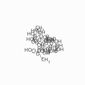 CC(=O)N[C@@H]1[C@@H](O)[C@H](O[C@@H]2O[C@H](C(=O)O)[C@@H](O[C@@H]3O[C@H](CO)[C@@H](O[C@H]4O[C@@H](C(=O)O)[C@H](O)[C@@H](O)[C@@H]4OS(=O)(=O)O)[C@H](OS(=O)(=O)O)[C@H]3NS(=O)(=O)O)[C@H](O)[C@H]2OS(=O)(=O)O)[C@H](COS(=O)(=O)O)O[C@H]1O.CCCCOC(=O)c1ccc(O)cc1